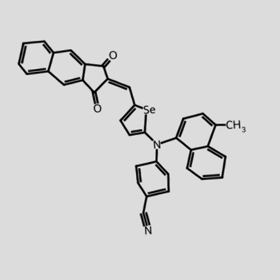 Cc1ccc(N(c2ccc(C#N)cc2)c2ccc(C=C3C(=O)c4cc5ccccc5cc4C3=O)[se]2)c2ccccc12